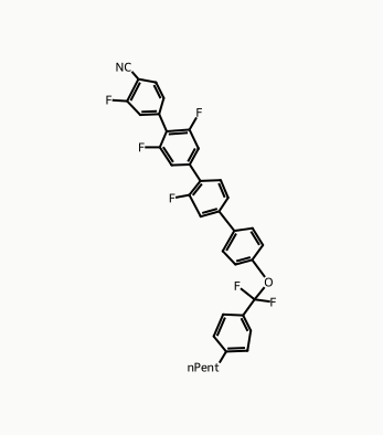 CCCCCc1ccc(C(F)(F)Oc2ccc(-c3ccc(-c4cc(F)c(-c5ccc(C#N)c(F)c5)c(F)c4)c(F)c3)cc2)cc1